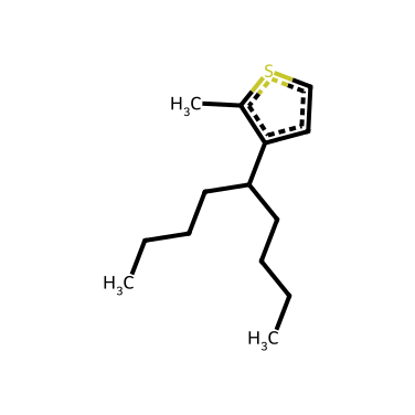 CCCCC(CCCC)c1ccsc1C